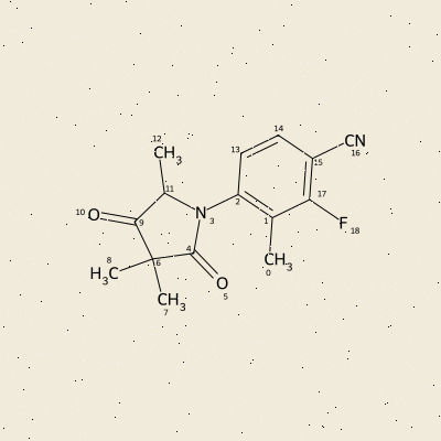 Cc1c(N2C(=O)C(C)(C)C(=O)C2C)ccc(C#N)c1F